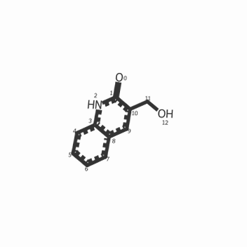 O=c1[nH]c2ccccc2cc1CO